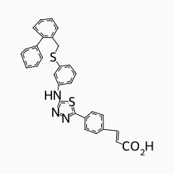 O=C(O)C=Cc1ccc(-c2nnc(Nc3cccc(SCc4ccccc4-c4ccccc4)c3)s2)cc1